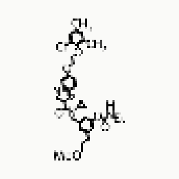 CCNC(=O)Oc1cc(CCCOC)cc(CN(C(=O)C(CN)Cc2ccc(OCCOc3c(C)cc(C)cc3Cl)cc2)C2CC2)c1